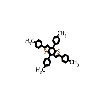 Cc1ccc(-c2cc3c(-c4ccc(C)cc4)c4sc(-c5ccc(C)cc5)cc4c(-c4ccc(C)cc4)c3s2)cc1